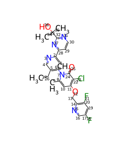 C\C=C(/N=C\C(=C\n1c(C)cc(OCc2ncc(F)cc2F)c(Cl)c1=O)CC)c1ccnc(C(C)(C)O)n1